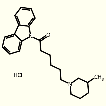 CC1CCCN(CCCCCC(=O)n2c3ccccc3c3ccccc32)C1.Cl